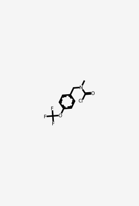 CN(Cc1ccc(OC(F)(F)F)cc1)C(=O)Cl